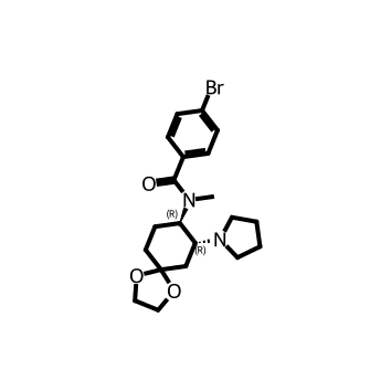 CN(C(=O)c1ccc(Br)cc1)[C@@H]1CCC2(C[C@H]1N1CCCC1)OCCO2